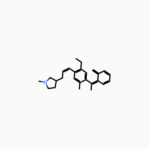 C=c1cccc/c1=C(\C)c1cc(CC)c(/C=C\CC2CCN(C)C2)cc1C